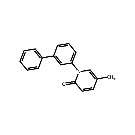 Cc1ccc(=O)n(-c2cccc(-c3ccccc3)c2)c1